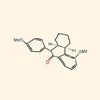 COc1ccc(C2C(=O)c3cccc(OC)c3[C@@H]3CCCC[C@H]23)cc1